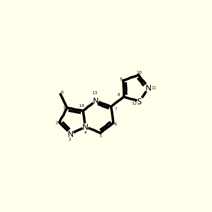 Cc1cnn2ccc(-c3ccns3)nc12